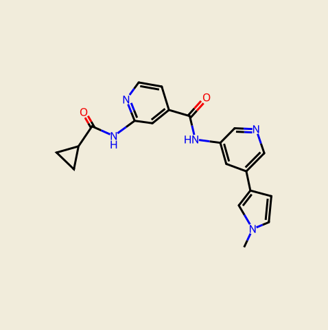 Cn1ccc(-c2cncc(NC(=O)c3ccnc(NC(=O)C4CC4)c3)c2)c1